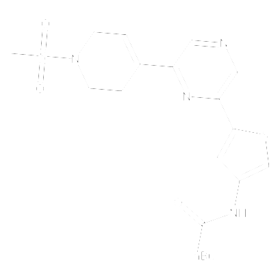 CCCCC(=O)Nc1csc(-c2cncc(C3=CCN(S(C)(=O)=O)CC3)n2)c1